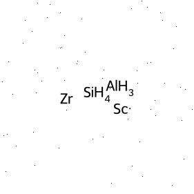 [AlH3].[Sc].[SiH4].[Zr]